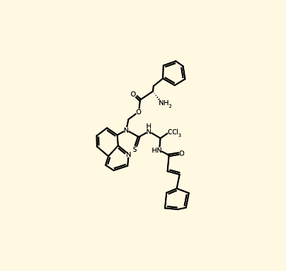 N[C@@H](Cc1ccccc1)C(=O)OCN(C(=S)NC(NC(=O)/C=C/c1ccccc1)C(Cl)(Cl)Cl)c1cccc2cccnc12